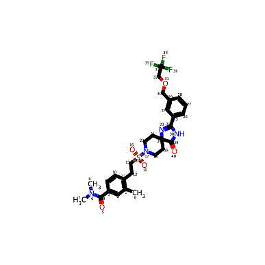 Cc1cc(C(=O)N(C)C)ccc1CCS(=O)(=O)N1CCC2(CC1)N=C(c1cccc(COCC(F)(F)F)c1)NC2=O